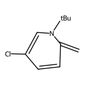 C=C1C=CC(Cl)=CN1C(C)(C)C